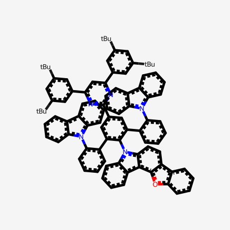 CC(C)(C)c1cc(-c2cc(-c3cc(C(C)(C)C)cc(C(C)(C)C)c3)nc(-c3cc(-c4ccccc4-n4c5ccccc5c5ccccc54)c(-n4c5ccccc5c5c6oc7ccccc7c6ccc54)c(-c4ccccc4-n4c5ccccc5c5ccccc54)c3)n2)cc(C(C)(C)C)c1